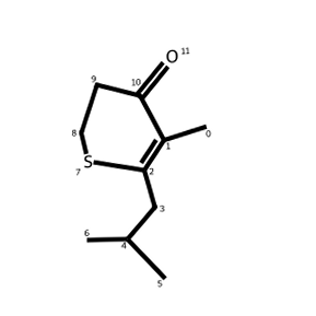 CC1=C(CC(C)C)SCCC1=O